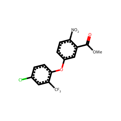 COC(=O)c1cc(Oc2ccc(Cl)cc2C(F)(F)F)ccc1[N+](=O)[O-]